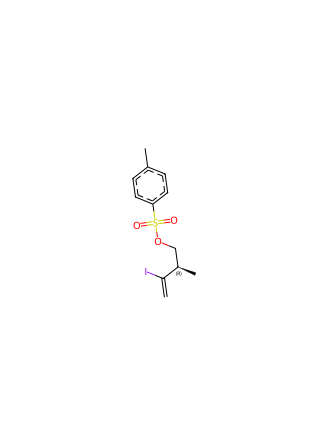 C=C(I)[C@H](C)COS(=O)(=O)c1ccc(C)cc1